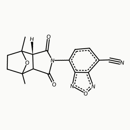 CC12CCC(C)(O1)[C@@H]1C(=O)N(c3ccc(C#N)c4nonc34)C(=O)C12